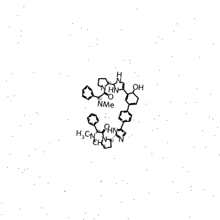 CN[C@@H](C(=O)N1CCC[C@H]1C1NC=C(C2=CC(c3ccc(-c4cnc([C@@H]5CCCN5C(=O)[C@@H](c5ccccc5)N(C)C)[nH]4)cc3)=CCC2O)N1)c1ccccc1